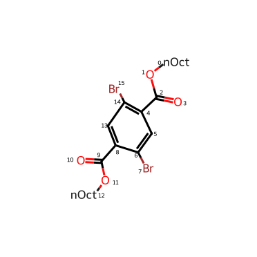 CCCCCCCCOC(=O)c1cc(Br)c(C(=O)OCCCCCCCC)cc1Br